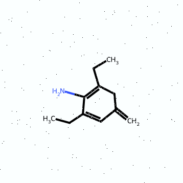 C=C1C=C(CC)C(N)=C(CC)C1